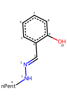 CCCCCNN=Cc1ccccc1O